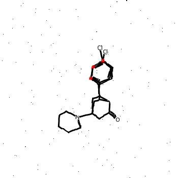 O=C1CC2(N3CCCCC3)CC(c3ccc(Cl)cc3)C1C(c1ccc(Cl)cc1)C2